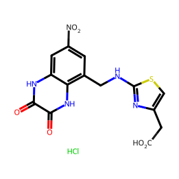 Cl.O=C(O)Cc1csc(NCc2cc([N+](=O)[O-])cc3[nH]c(=O)c(=O)[nH]c23)n1